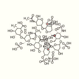 CC(=O)N[C@H]1[C@@H](O[C@H]2[C@H](O)[C@@H](O)[C@H](O[C@H]3[C@H](OS(=O)(=O)O)[C@@H](NS(=O)(=O)O)[C@@H](O[C@H]4[C@H](O)[C@@H](OS(=O)(=O)O)C(O[C@H]5[C@H](O)[C@@H](NS(=O)(=O)O)[C@@H](O[C@H]6[C@H](O)[C@@H](O)[C@H](O[C@H]7[C@H](O)[C@@H](NC(C)=O)C(O)O[C@@H]7COS(=O)(=O)O)O[C@H]6C(=O)O)O[C@@H]5COS(=O)(=O)O)O[C@H]4C(=O)O)O[C@@H]3COS(=O)(=O)O)O[C@@H]2C(=O)O)O[C@H](COS(=O)(=O)O)[C@@H](O[C@@H]2OC(C(=O)O)[C@@H](C)[C@H](O)[C@H]2O)[C@@H]1O